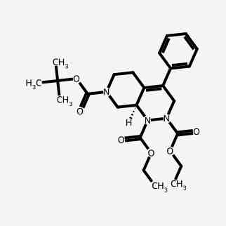 CCOC(=O)N1CC(c2ccccc2)=C2CCN(C(=O)OC(C)(C)C)C[C@@H]2N1C(=O)OCC